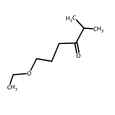 CCOCCCC(=O)C(C)C